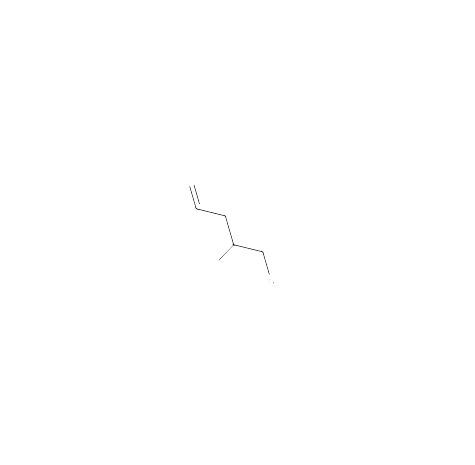 NCC(O)CC=O